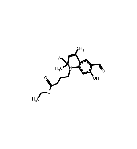 CCOC(=O)CCCN1c2cc(O)c(C=O)cc2C(C)=CC1(C)C